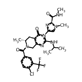 CNC(=O)c1nc(-n2c(NC(C)C)nc3c(c2=O)C[C@@H](C)N(C(=O)c2ccc(Cl)c(C(F)(F)F)c2)C3)cn1C